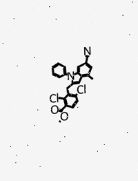 COC(=O)c1ccc(Cl)c(Cc2cc3c(C)cc(C#N)cc3n2-c2ccccc2)c1Cl